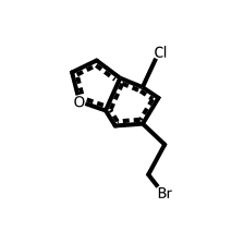 Clc1cc(CCBr)cc2occc12